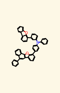 c1ccc(-c2cc3c4cccc(-c5ccc(N(c6ccccc6)c6cccc(-c7cccc8c7oc7ccccc78)c6)cc5)c4oc3c3ccccc23)cc1